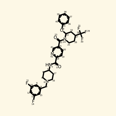 O=C(NC1CCN(Cc2cc(F)cc(F)c2)CC1)c1ccc(C(=O)N2CCC(C(F)(F)F)CC2Oc2ccccc2)cn1